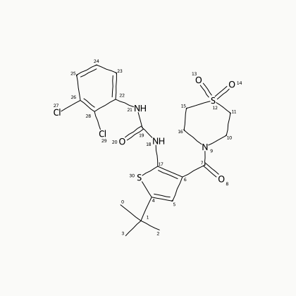 CC(C)(C)c1cc(C(=O)N2CCS(=O)(=O)CC2)c(NC(=O)Nc2cccc(Cl)c2Cl)s1